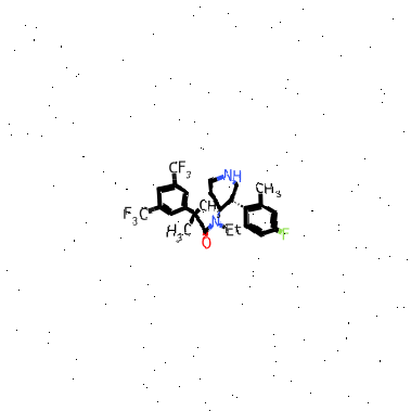 CCN(C(=O)C(C)(C)c1cc(C(F)(F)F)cc(C(F)(F)F)c1)[C@H]1CCNC[C@@H]1c1ccc(F)cc1C